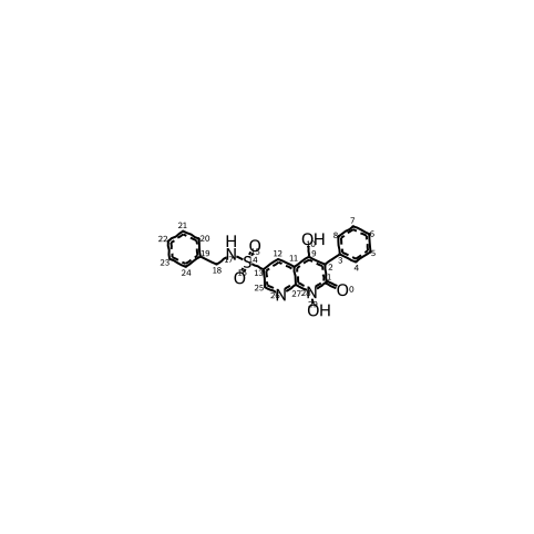 O=c1c(-c2ccccc2)c(O)c2cc(S(=O)(=O)NCc3ccccc3)cnc2n1O